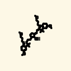 COCCCN1/C(=C/C=C2\CCC(/C=C/C3=[N+](CCCOC)c4ccc(OC)cc4C3(C)C)=C2O)C(C)(C)c2cc(OC)ccc21